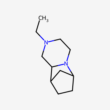 CCN1CCN2C3CCC(C3)C2C1